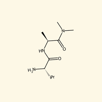 CC(C)[C@H](N)C(=O)N[C@@H](C)C(=O)N(C)C